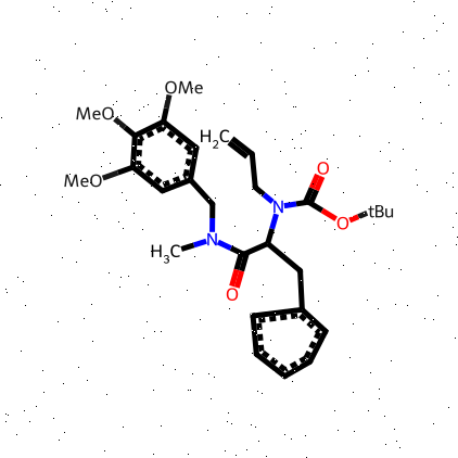 C=CCN(C(=O)OC(C)(C)C)C(Cc1ccccc1)C(=O)N(C)Cc1cc(OC)c(OC)c(OC)c1